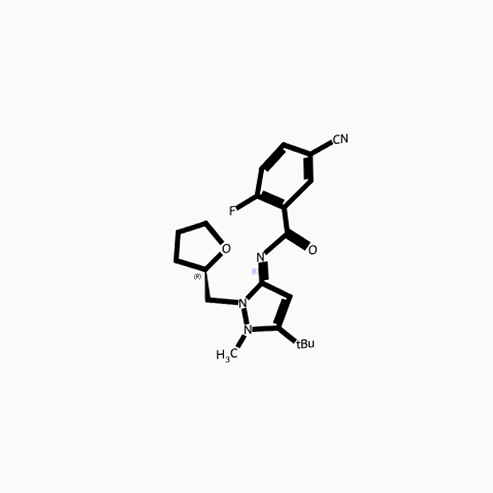 Cn1c(C(C)(C)C)c/c(=N\C(=O)c2cc(C#N)ccc2F)n1C[C@H]1CCCO1